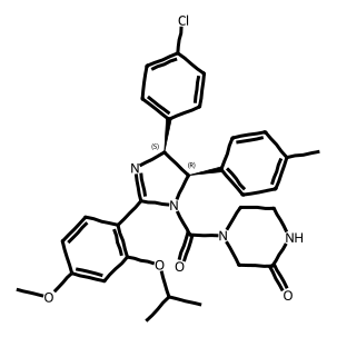 COc1ccc(C2=N[C@@H](c3ccc(Cl)cc3)[C@@H](c3ccc(C)cc3)N2C(=O)N2CCNC(=O)C2)c(OC(C)C)c1